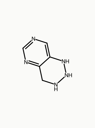 c1ncc2c(n1)CNNN2